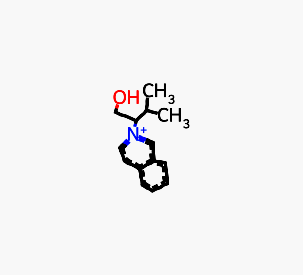 CC(C)C(CO)[n+]1ccc2ccccc2c1